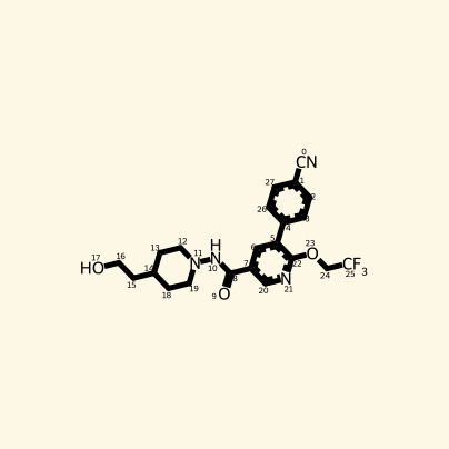 N#Cc1ccc(-c2cc(C(=O)NN3CCC(CCO)CC3)cnc2OCC(F)(F)F)cc1